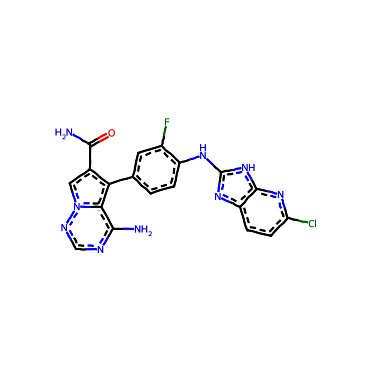 NC(=O)c1cn2ncnc(N)c2c1-c1ccc(Nc2nc3ccc(Cl)nc3[nH]2)c(F)c1